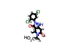 Cc1c2c(=O)n(-c3cc(Cl)ccc3Cl)[nH]c2cc(=O)n1C(C)C(=O)O